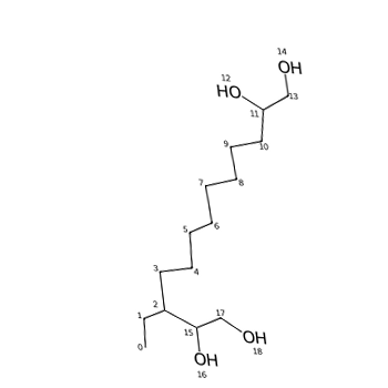 CCC(CCCCCCCCC(O)CO)C(O)CO